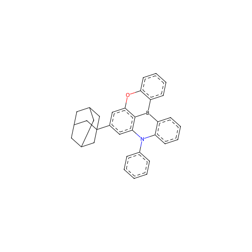 c1ccc(N2c3ccccc3B3c4ccccc4Oc4cc(C56CC7CC(CC(C7)C5)C6)cc2c43)cc1